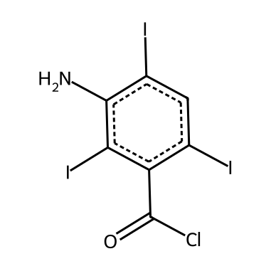 Nc1c(I)cc(I)c(C(=O)Cl)c1I